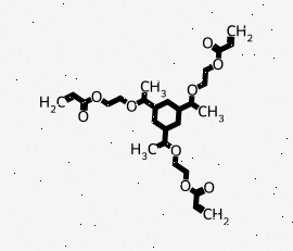 C=CC(=O)OCCOC(C)C1CC(C(C)OCCOC(=O)C=C)CC(C(C)OCCOC(=O)C=C)C1